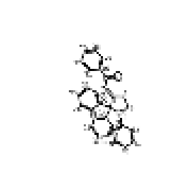 O=C(C=C1CCP(c2ccccc2)C1(c1ccccc1)c1ccccc1)c1ccccc1